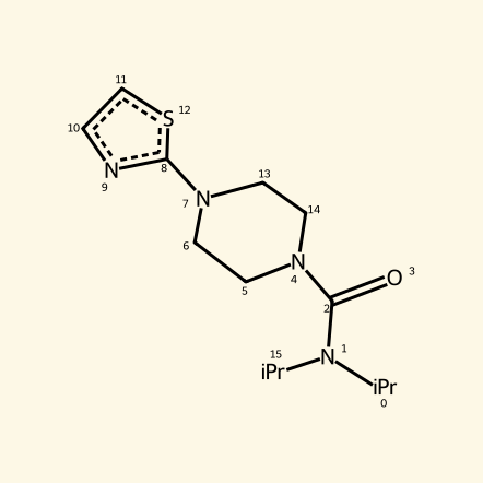 CC(C)N(C(=O)N1CCN(c2nccs2)CC1)C(C)C